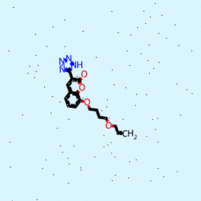 C=CCOCCCCOc1cccc2cc(-c3nnn[nH]3)c(=O)oc12